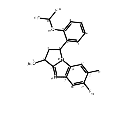 CC(=O)OC1CC(c2ccccc2OC(F)F)n2c1nc1cc(F)c(C)cc12